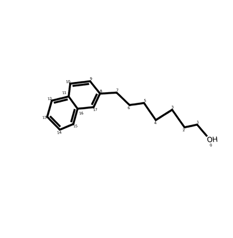 OCCCCCCCc1ccc2ccccc2c1